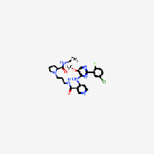 CCNC(=O)C1CCCN1CCCNC(=O)c1cnccc1Nc1nc(-c2cc(Cl)ccc2F)ncc1OC